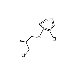 C[C@H](CCl)COc1ccccc1Cl